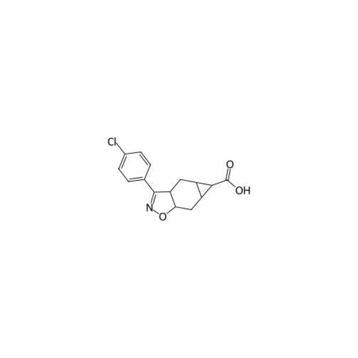 O=C(O)C1C2CC3ON=C(c4ccc(Cl)cc4)C3CC21